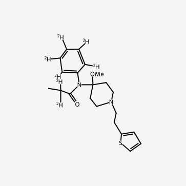 [2H]c1c([2H])c([2H])c(N(C(=O)C([2H])([2H])C)C2(OC)CCN(CCc3cccs3)CC2)c([2H])c1[2H]